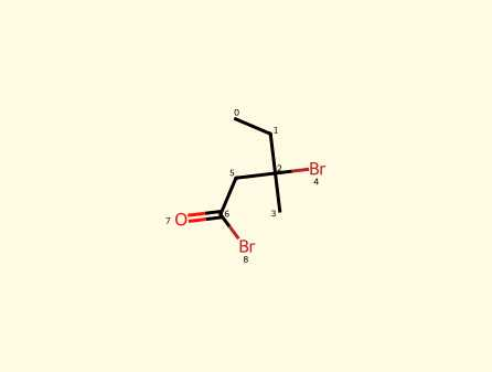 CCC(C)(Br)CC(=O)Br